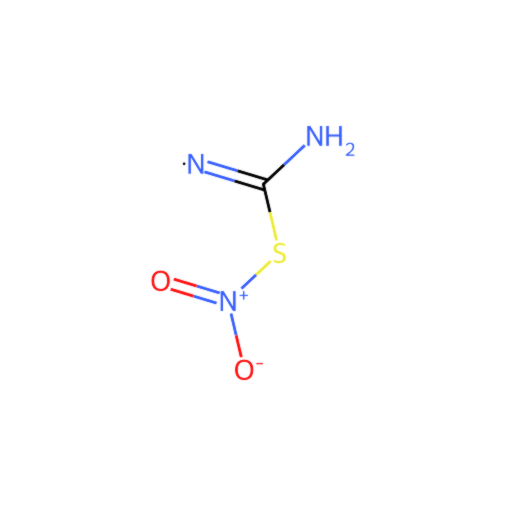 [N]=C(N)S[N+](=O)[O-]